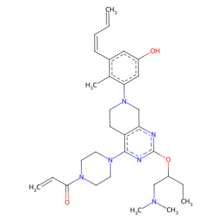 C=C/C=C\c1cc(O)cc(N2CCc3c(nc(OC(CC)CN(C)C)nc3N3CCN(C(=O)C=C)CC3)C2)c1C